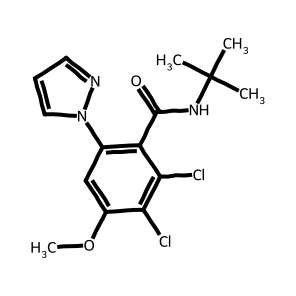 COc1cc(-n2cccn2)c(C(=O)NC(C)(C)C)c(Cl)c1Cl